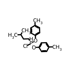 Cc1ccc(O[PH](Cl)(CCC(C)C)Oc2ccc(C)cc2)cc1